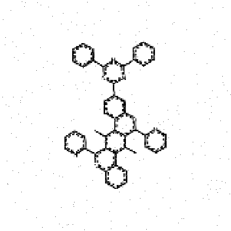 Cc1c2c(-c3ccccn3)nc3cc(-c4nc(-c5ccccc5)nc(-c5ccccc5)n4)ccc3c2c(C)c2c(-c3ccccn3)nc3ccccc3c12